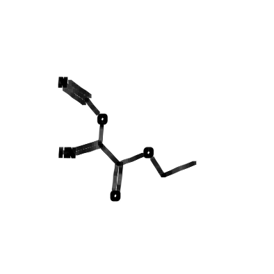 CCOC(=O)C(=N)OC#N